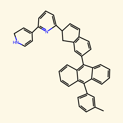 Cc1cccc(-c2c3ccccc3c(-c3ccc4c(c3)CC(c3cccc(C5=CCNC=C5)n3)C=C4)c3ccccc23)c1